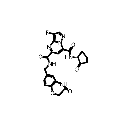 O=C1COc2ccc(CNC(=O)c3cc(C(=O)N[C@H]4CCCC4=O)n4ncc(F)c4n3)cc2N1